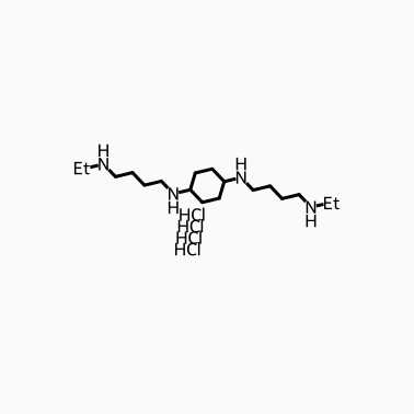 CCNCCCCNC1CCC(NCCCCNCC)CC1.Cl.Cl.Cl.Cl